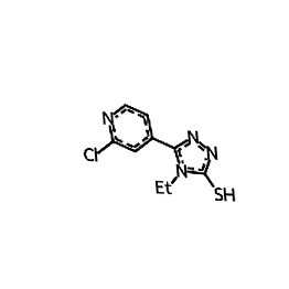 CCn1c(S)nnc1-c1ccnc(Cl)c1